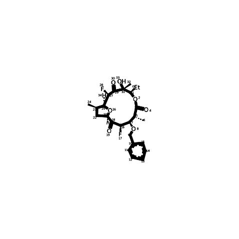 CC[C@H]1OC(=O)[C@H](C)[C@@H](OCc2ccccc2)[C@@H](F)C(=O)[C@@]2(C)C[C@@H](C)[C@H](O2)[C@@H](F)C(=O)[C@]1(C)O